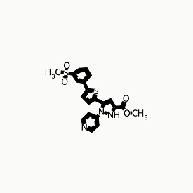 COC(=O)C1C=C(c2ccc(-c3cccc(S(C)(=O)=O)c3)s2)N(c2ccncc2)N1